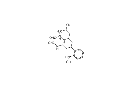 CC(C#N)CC(CC(CCNC=O)c1ccccc1NO)NNC=O